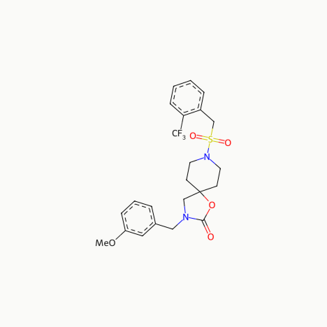 COc1cccc(CN2CC3(CCN(S(=O)(=O)Cc4ccccc4C(F)(F)F)CC3)OC2=O)c1